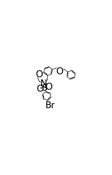 O=S(=O)(c1ccc(Br)cc1)N1CCOc2ccc(COCc3ccccc3)cc2C1